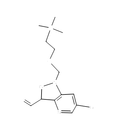 C[Si](C)(C)CCOCN1NC(C=O)c2ncc(Br)cc21